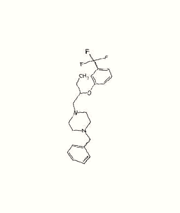 CCC(CN1CCN(Cc2ccccc2)CC1)Oc1cccc(C(F)(F)F)c1